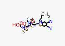 CCCCN1/C(=C/C=c2/s/c(=C3\SC(=S)N(CC(=O)O)C3=O)n(CC)c2=O)Sc2cc(C#N)c(C#N)cc21